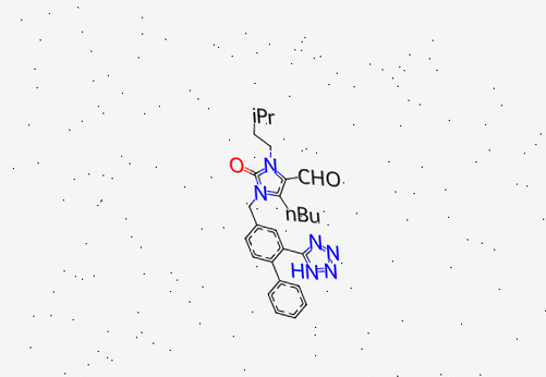 CCCCc1c(C=O)n(CCC(C)C)c(=O)n1Cc1ccc(-c2ccccc2)c(-c2nnn[nH]2)c1